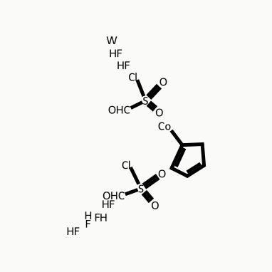 F.F.F.F.F.F.O=CS(=O)(=O)Cl.O=CS(=O)(=O)Cl.[Co][C]1=CC=CC1.[W]